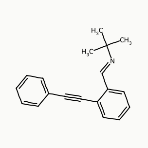 CC(C)(C)N=Cc1ccccc1C#Cc1ccccc1